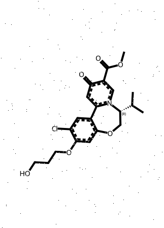 COC(=O)c1cn2c(cc1=O)-c1cc(Cl)c(OCCCO)cc1OC[C@H]2C(C)C